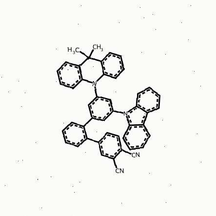 CC1(C)c2ccccc2N(c2cc(-c3ccccc3-c3ccc(C#N)c(C#N)c3)cc(-n3c4ccccc4c4ccccc43)c2)c2ccccc21